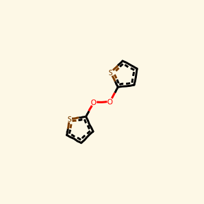 c1csc(OOc2cccs2)c1